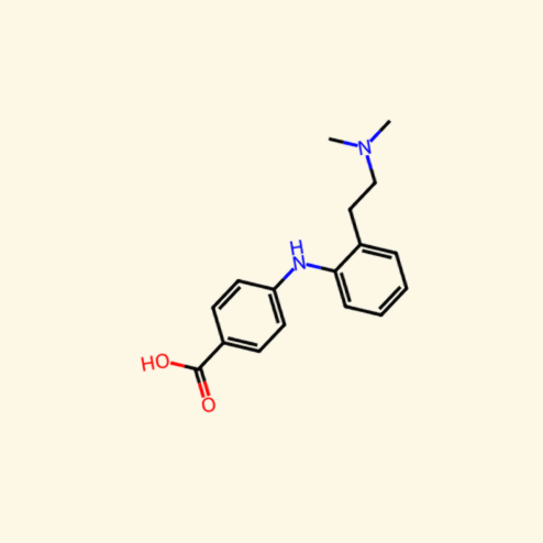 CN(C)CCc1ccccc1Nc1ccc(C(=O)O)cc1